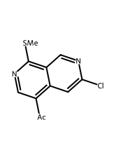 CSc1ncc(C(C)=O)c2cc(Cl)ncc12